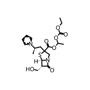 CCOC(=O)OC(C)OC(=O)C1(C[C@@H](C)n2cccc2)CN2C(=O)[C@H](CO)[C@H]2S1